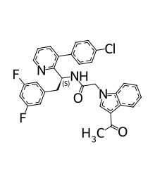 CC(=O)c1cn(CC(=O)N[C@@H](Cc2cc(F)cc(F)c2)c2ncccc2-c2ccc(Cl)cc2)c2ccccc12